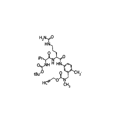 C#CCOC(=O)N(C)Cc1cc(NC(=O)[C@H](CCCNC(N)=O)NC(=O)[C@@H](NC(=O)OC(C)(C)C)C(C)C)ccc1[CH2]